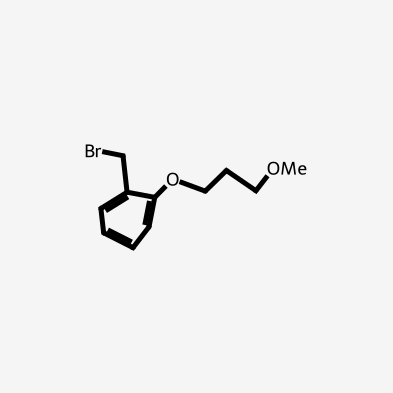 COCCCOc1ccccc1CBr